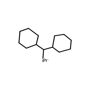 C[C](C)C(C1CCCCC1)C1CCCCC1